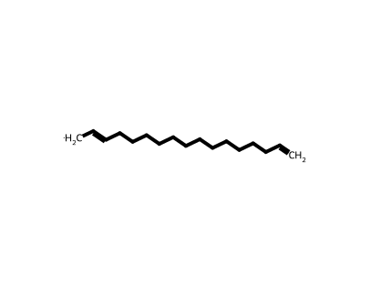 [CH2]/C=C/CCCCCCCCCCCCC=C